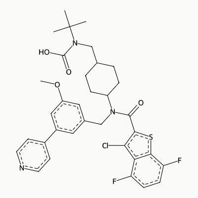 COc1cc(CN(C(=O)c2sc3c(F)ccc(F)c3c2Cl)C2CCC(CN(C(=O)O)C(C)(C)C)CC2)cc(-c2ccncc2)c1